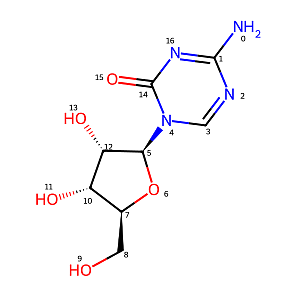 Nc1ncn([C@H]2O[C@@H](CO)[C@H](O)[C@@H]2O)c(=O)n1